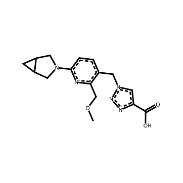 COCc1nc(N2CC3CC3C2)ccc1Cn1cc(C(=O)O)nn1